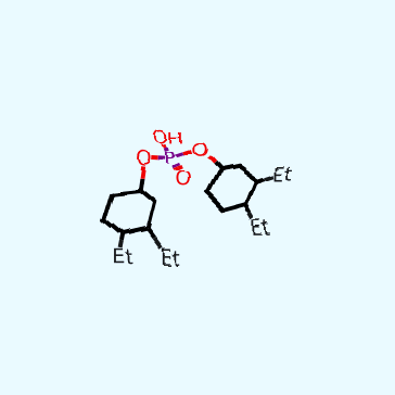 CCC1CCC(OP(=O)(O)OC2CCC(CC)C(CC)C2)CC1CC